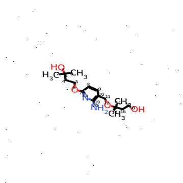 CC(C)(O)CCOc1ccc(COC(C)(C)CCO)c(N)n1